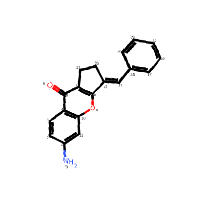 Nc1ccc2c(=O)c3c(oc2c1)/C(=C/c1ccccc1)CC3